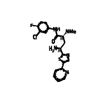 CN[C@H](C[C@H](N)c1ncc(-c2ccccn2)s1)C(=O)Nc1ccc(F)c(Cl)c1